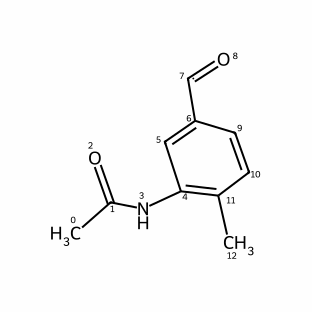 CC(=O)Nc1cc([C]=O)ccc1C